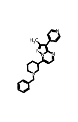 Cc1nn2c(C3CCCN(Cc4ccccc4)C3)ccnc2c1-c1ccncc1